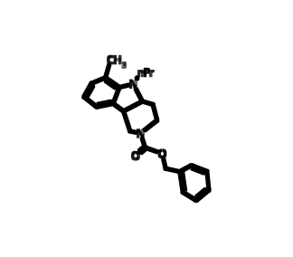 CCCN1c2c(C)cccc2C2CN(C(=O)OCc3ccccc3)CCC21